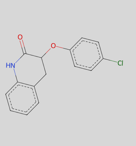 O=C1Nc2ccccc2CC1Oc1ccc(Cl)cc1